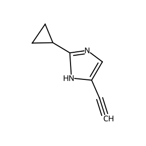 C#Cc1cnc(C2CC2)[nH]1